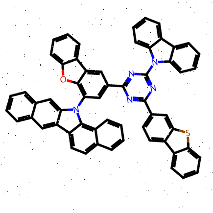 c1ccc2cc3c(cc2c1)c1ccc2ccccc2c1n3-c1cc(-c2nc(-c3ccc4c(c3)sc3ccccc34)nc(-n3c4ccccc4c4ccccc43)n2)cc2c1oc1ccccc12